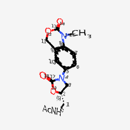 CC(=O)NC[C@H]1CN(c2ccc3c(c2)COC(=O)N3C)C(=O)O1